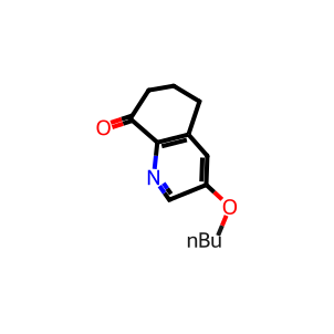 CCCCOc1cnc2c(c1)CCCC2=O